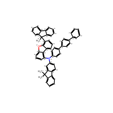 CC1(C)c2ccccc2-c2ccc(N(c3ccc(-c4ccc(-c5ccccc5)cc4)cc3)c3cccc4oc5c(C6(C)c7ccccc7-c7ccccc76)cccc5c34)cc21